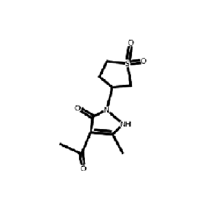 CC(=O)c1c(C)[nH]n(C2CCS(=O)(=O)C2)c1=O